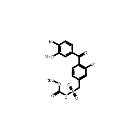 CCc1ccc(C(=O)c2ccc(CS(=O)(=O)NC(=O)OC(C)(C)C)cc2Br)cc1OC